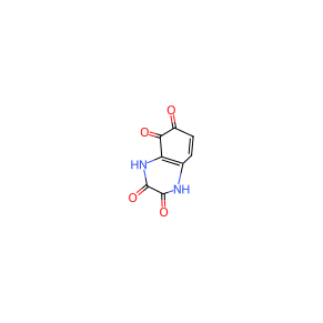 O=C1C=Cc2[nH]c(=O)c(=O)[nH]c2C1=O